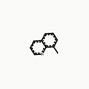 Cc1[c]ccc2cccnc12